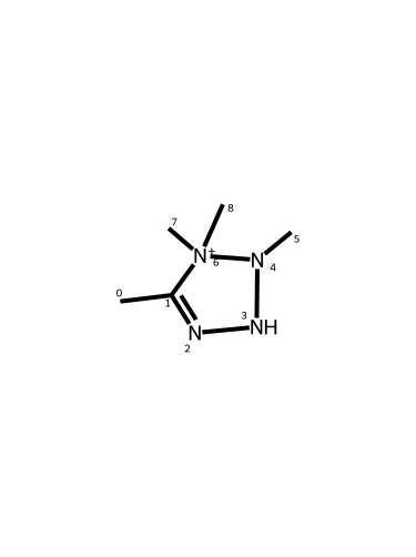 CC1=NNN(C)[N+]1(C)C